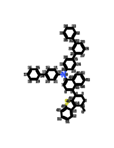 C[C@@H]1CC=C(c2ccc(N(c3ccc(-c4ccccc4)cc3)c3ccc(-c4cccc(-c5ccccc5)c4)cc3)c3ccccc23)c2sc3ccccc3c21